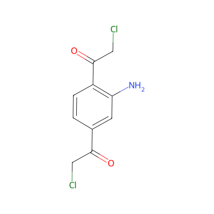 Nc1cc(C(=O)CCl)ccc1C(=O)CCl